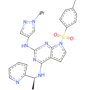 Cc1ccc(S(=O)(=O)n2ccc3c(N[C@@H](C)c4ccccn4)nc(Nc4cnn(C(C)C)c4)nc32)cc1